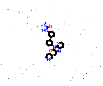 CNC(=O)Nc1cccc(-c2cccc(-n3c(=O)c(Cc4cccnc4)nc4cccnc43)c2)c1